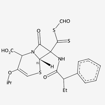 CCC(C(=O)NC1(C(=S)SC=O)C(=O)N2C(C(=O)O)C(OC(C)C)=CS[C@H]21)c1ccccc1